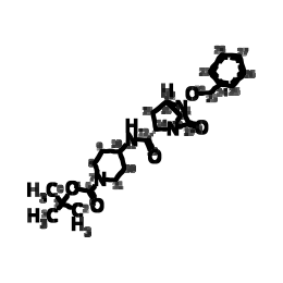 CC(C)(C)OC(=O)N1CCC(NC(=O)[C@@H]2C[C@@H]3CN2C(=O)N3OCc2ccccc2)CC1